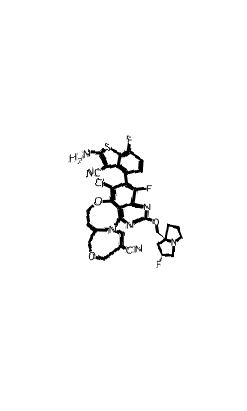 N#Cc1c(N)sc2c(F)ccc(-c3c(Cl)c4c5c(nc(OC[C@@]67CCCN6C[C@H](F)C7)nc5c3F)N3CC(C#N)COCC3CCO4)c12